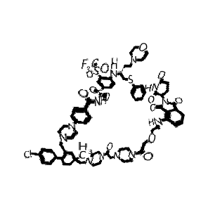 CC1(CN2CCN(C(=O)CN3CCN(C(=O)COCCNc4cccc5c4C(=O)N(C4CCC(=O)NC4=O)C5=O)CC3)CC2)CCC(c2ccc(Cl)cc2)=C(CN2CCN(c3ccc(C(=O)NS(=O)(=O)c4ccc(N[C@H](CCN5CCOCC5)CSc5ccccc5)c(S(=O)(=O)C(F)(F)F)c4)cc3)CC2)C1